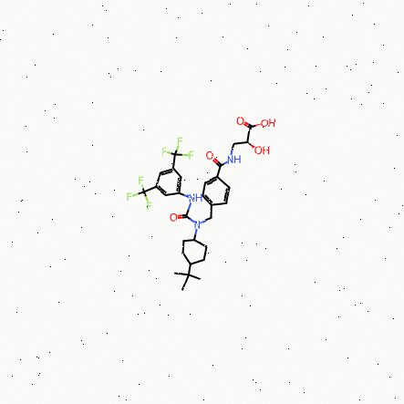 CC(C)(C)C1CCC(N(Cc2ccc(C(=O)NC[C@H](O)C(=O)O)cc2)C(=O)Nc2cc(C(F)(F)F)cc(C(F)(F)F)c2)CC1